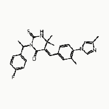 Cc1cn(-c2ccc(/C=C3/C(=O)N(C(C)c4ccc(F)cc4)C(=S)NC3(C)C)cc2C)cn1